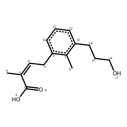 [CH2]c1c(CC=C(C)C(=O)O)cccc1CCCO